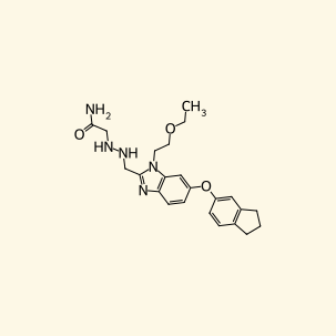 CCOCCn1c(CNNCC(N)=O)nc2ccc(Oc3ccc4c(c3)CCC4)cc21